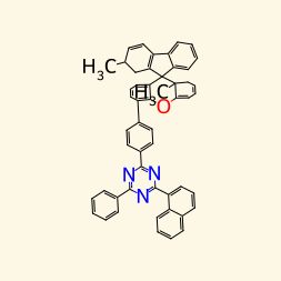 CC1C=CC2=C(C1)C1(c3ccccc32)c2cccc(-c3ccc(-c4nc(-c5ccccc5)nc(-c5cccc6ccccc56)n4)cc3)c2OC2=CC=CCC21C